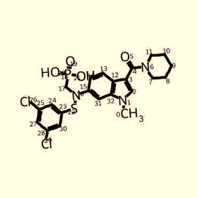 Cn1cc(C(=O)N2CCCCC2)c2ccc(N(CP(=O)(O)O)Sc3cc(Cl)cc(Cl)c3)cc21